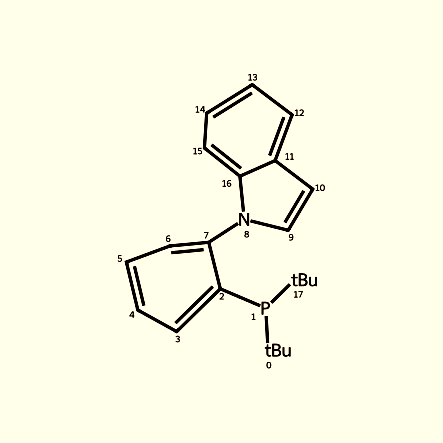 CC(C)(C)P(c1ccccc1-n1ccc2ccccc21)C(C)(C)C